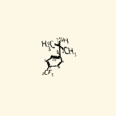 CC(C)(S)c1ccc(C(F)(F)F)cc1